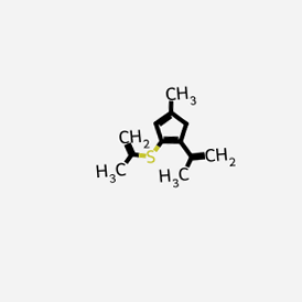 C=C(C)SC1=C(C(=C)C)CC(C)=C1